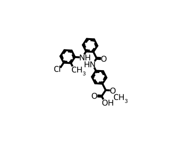 COC(C(=O)O)c1ccc(NC(=O)c2ccccc2Nc2cccc(Cl)c2C)cc1